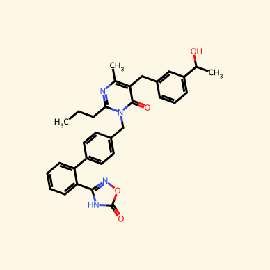 CCCc1nc(C)c(Cc2cccc(C(C)O)c2)c(=O)n1Cc1ccc(-c2ccccc2-c2noc(=O)[nH]2)cc1